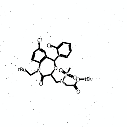 CC(C)(C)CN1C(=O)C(CN(CC(=O)OC(C)(C)C)S(C)(=O)=O)OC(c2ccccc2Cl)c2cc(Cl)ccc21